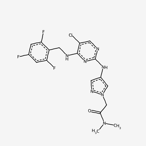 CN(C)C(=O)Cn1cc(Nc2ncc(Cl)c(NCc3c(F)cc(F)cc3F)n2)cn1